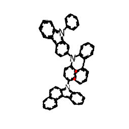 c1ccc(-c2ccccc2N(c2ccc(-n3c4ccccc4c4c5ccccc5ccc43)cc2)c2ccc3c4ccccc4n(-c4ccccc4)c3c2)cc1